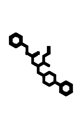 C=CCN(C)C(CC(=O)OCc1ccccc1)CN1CCN(c2ccccc2)CC1